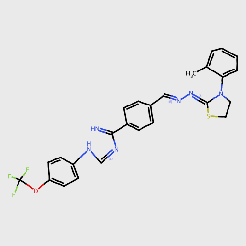 Cc1ccccc1N1CCS/C1=N\N=C\c1ccc(C(=N)/N=C\Nc2ccc(OC(F)(F)F)cc2)cc1